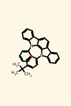 CC(C)(C)c1ccc(-n2c3ccccc3c3ccc4c5ccccc5n(-c5ccccc5)c4c32)cc1